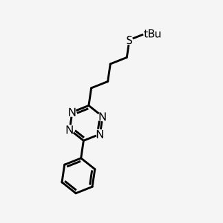 CC(C)(C)SCCCCc1nnc(-c2ccccc2)nn1